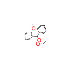 CCOC.COc1ccccc1C(=O)c1ccccc1